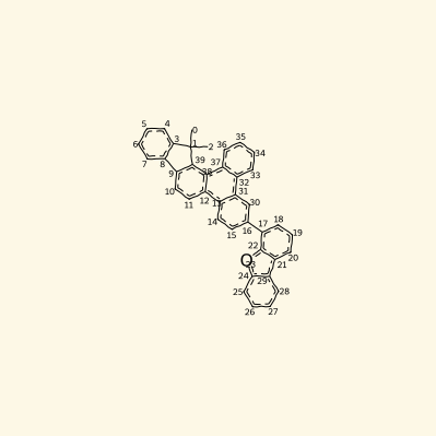 CC1(C)c2ccccc2-c2ccc3c4ccc(-c5cccc6c5oc5ccccc56)cc4c4ccccc4c3c21